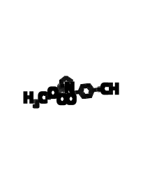 C#Cc1ccc(C(=O)N2CCC[C@H]2C(=O)OCC)cc1